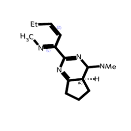 CC/C=C\C(=N/C)C1=NC(NC)[C@H]2CCCC2=N1